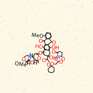 COc1cccc2c1C(=O)c1c(O)c3c(c(O)c1C2=O)C[C@@](O)(C(=O)COC1(OCC(=O)ON2C(=O)CCC2=O)CCCCC1)C[C@@H]3O[C@H]1C[C@H]2[C@H](O[C@@H]3[C@@H](OC)OCCN32)[C@H](C)O1